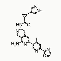 Cc1cc(-c2ncco2)ncc1-c1cc2cc(NC(=O)C3CC3c3cnn(C)c3)ncc2c(N)n1